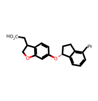 CC(C)c1cccc2c1CC[C@H]2Oc1ccc2c(c1)OCC2CC(=O)O